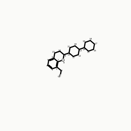 FCc1cccc2c1OC(C1CCC(C3CCCCC3)CC1)CC2